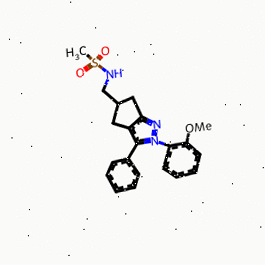 COc1ccccc1-n1nc2c(c1-c1ccccc1)CC(CNS(C)(=O)=O)C2